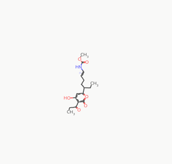 CCC(=O)c1c(O)cc(C(CC)CC/C=C/NC(=O)OC)oc1=O